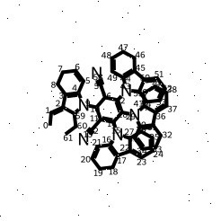 C/C=C1/C2=C(C=CCC2)N(C2C(C#N)=C(N3C4=C(CCC=C4)C4=CC=CCC43)C(N3C4=C(CCC=C4)C4=CC=CCC43)=C(N3C4=C(CCC=C4)C4=CC=CCC43)C2C#N)C1CC